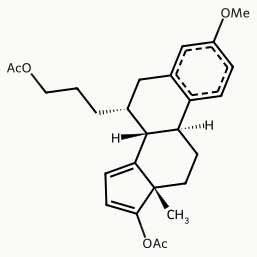 COc1ccc2c(c1)C[C@@H](CCCOC(C)=O)[C@H]1C3=CC=C(OC(C)=O)[C@@]3(C)CC[C@H]21